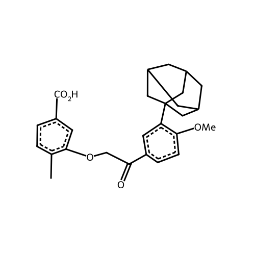 COc1ccc(C(=O)COc2cc(C(=O)O)ccc2C)cc1C12CC3CC(CC(C3)C1)C2